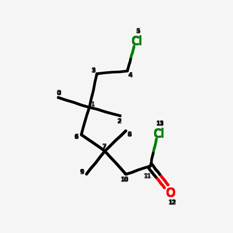 CC(C)(CCCl)CC(C)(C)CC(=O)Cl